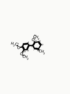 COc1ccc(-c2cc(C)ccc2OC)cc1OC